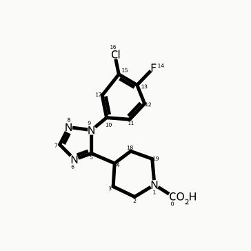 O=C(O)N1CCC(c2ncnn2-c2ccc(F)c(Cl)c2)CC1